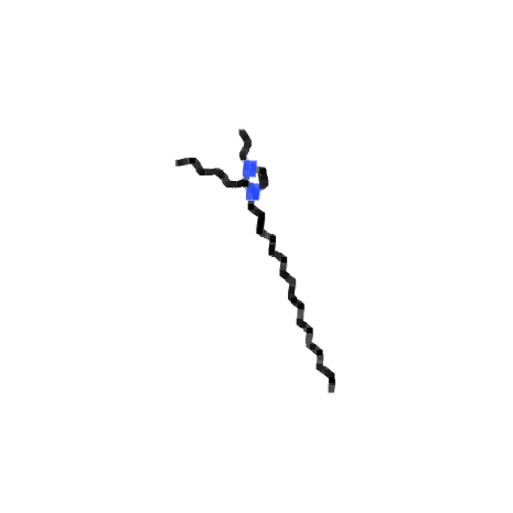 CCCCCCCCCCCCCCCCCN1C=CN(CCC)C1CCCCC